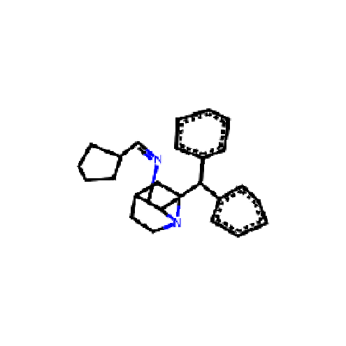 C(=N/C1C2CCN(CC2)C1C(c1ccccc1)c1ccccc1)/C1CCCC1